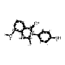 COc1cccc2c(=O)n(-c3ccc(S)cc3)c(C)nc12